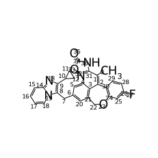 CC(=C1c2ccc(Cc3c(C4CC4)nc4ccccn34)cc2COc2cc(F)ccc21)c1noc(=O)[nH]1